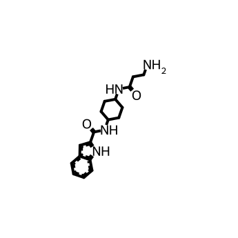 NCCC(=O)NC1CCC(NC(=O)c2cc3ccccc3[nH]2)CC1